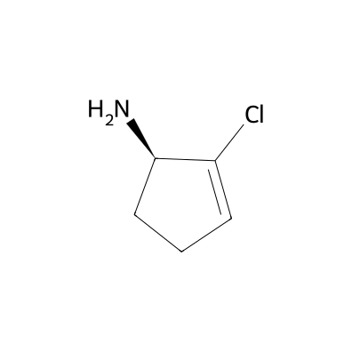 N[C@@H]1CCC=C1Cl